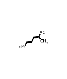 CCCC=CC=C(C)C(C)=O